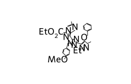 CCOC(=O)c1nc(-c2nc(-c3c(OCc4ccccc4)c(C)nn3CC)nn2Cc2ccc(OC)cc2)c2cnc(C)cn12